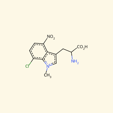 Cn1cc(CC(N)C(=O)O)c2c([N+](=O)[O-])ccc(Cl)c21